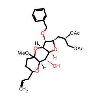 C=CCC1CCC2(OC)O[C@H]3[C@@H](OCc4ccccc4)[C@@H](C[C@H](COC(C)=O)OC(C)=O)O[C@H]3[C@H](O)[C@H]2O1